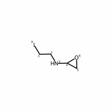 ICCNC1CO1